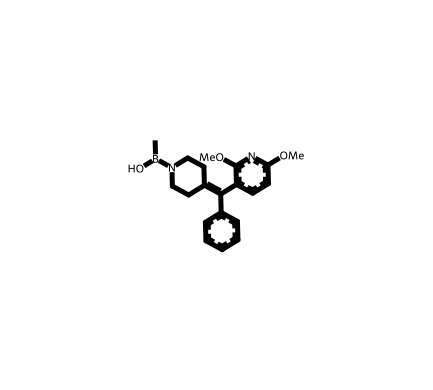 COc1ccc(C(=C2CCN(B(C)O)CC2)c2ccccc2)c(OC)n1